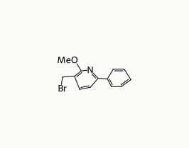 COc1nc(-c2ccccc2)ccc1CBr